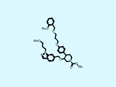 COCCCn1ncc2ccc(COC3CN(C(=O)OC(C)(C)C)CCC3c3ccc(OCCCOCc4ccccc4OC)cc3)cc21